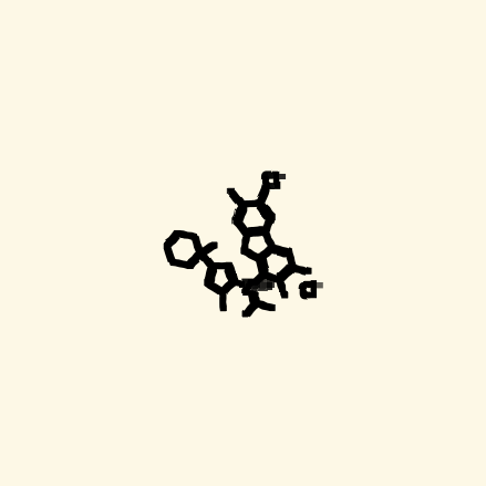 C[C](C)=[Zr+2]([C]1=CC(C2(C)CCCCC2)=CC1C)[c]1c(C)c(C)cc2c1Cc1cc(C)c(C)cc1-2.[Cl-].[Cl-]